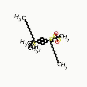 CCCCCCCCCCCCCCc1cc(C2=C3C(=O)SC(C)=C3C(=O)S2)sc1-c1cc2ccc3cc(-c4sc(C(C)(C)CC)cc4CCCCCCCCCCCCCC)cc4ccc(c1)c2c34